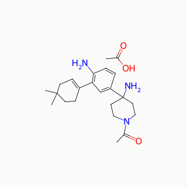 CC(=O)N1CCC(N)(c2ccc(N)c(C3=CCC(C)(C)CC3)c2)CC1.CC(=O)O